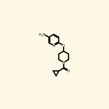 Nc1ccc(OC2CCN(C(=O)C3CC3)CC2)nc1